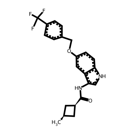 C[C@H]1C[C@@H](C(=O)Nc2c[nH]c3ccc(OCc4ccc(C(F)(F)F)cc4)cc23)C1